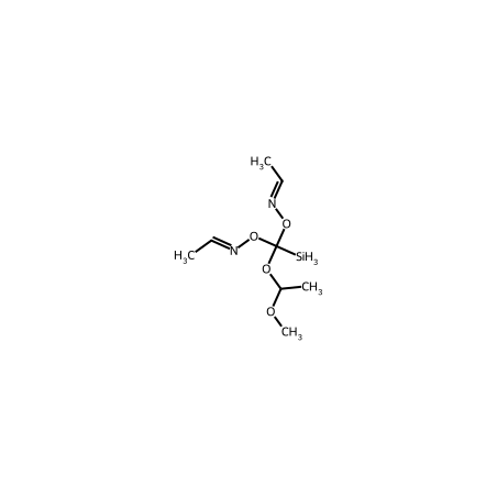 C/C=N/OC([SiH3])(O/N=C/C)OC(C)OC